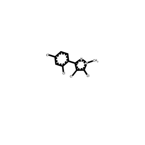 Cn1nc(-c2ccc(Cl)cc2Cl)c(Cl)c1Cl